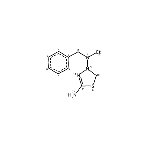 CCN(Cc1ccccc1)N1CSC(N)=N1